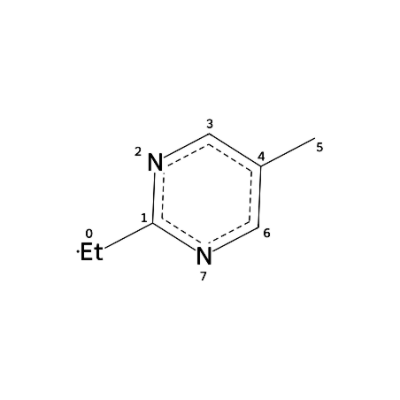 C[CH]c1ncc(C)cn1